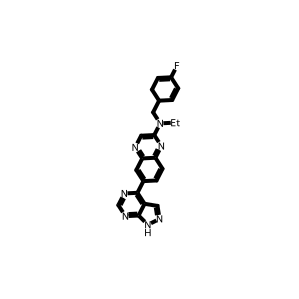 CCN(CC1C=CC(F)=CC1)c1cnc2cc(-c3ncnc4[nH]ncc34)ccc2n1